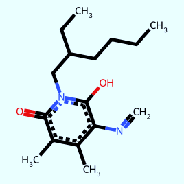 C=Nc1c(C)c(C)c(=O)n(CC(CC)CCCC)c1O